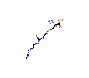 [N-]=[N+]=NCCNC(=O)NCCSC[C@H](N)C(=O)O